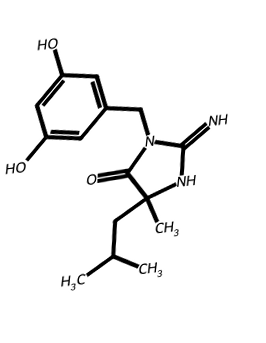 CC(C)CC1(C)NC(=N)N(Cc2cc(O)cc(O)c2)C1=O